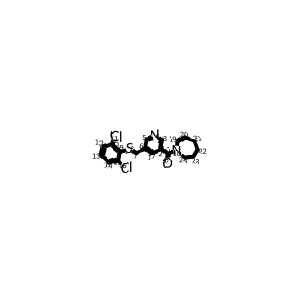 O=C(c1cncc(CSc2c(Cl)cccc2Cl)c1)N1CCCCCC1